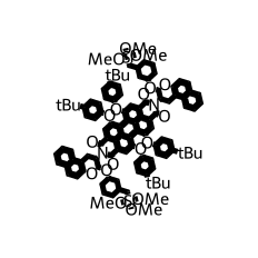 CO[Si](CC1CCCC(OC(=O)C(Cc2cccc3ccccc23)N2C(=O)c3cc(Oc4ccc(C(C)(C)C)cc4)c4c5c(Oc6ccc(C(C)(C)C)cc6)cc6c7c(cc(Oc8ccc(C(C)(C)C)cc8)c(c8c(Oc9ccc(C(C)(C)C)cc9)cc(c3c48)C2=O)c75)C(=O)N(C(Cc2cccc3ccccc23)C(=O)OC2CCCC(C[Si](OC)(OC)OC)C2)C6=O)C1)(OC)OC